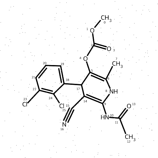 COC(=O)OC1=C(C)NC(NC(C)=O)=C(C#N)C1c1cccc(Cl)c1Cl